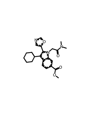 COC(=O)c1ccc2c(C3CCCCC3)c(-c3cnco3)n(CC(=O)N(C)C)c2c1